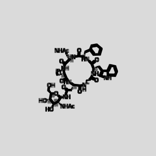 CC(=O)NC[C@@H]1NC(=O)[C@H](Cc2ccccc2)NC(=O)[C@H](Cc2c[nH]c3ccccc23)NC(=O)CNC(=O)[C@H](CC(=O)N[C@@H]2O[C@H](CO)[C@@H](O)[C@H](O)[C@H]2NC(C)=O)NC(=O)[C@H](CC(C)C)NC1=O